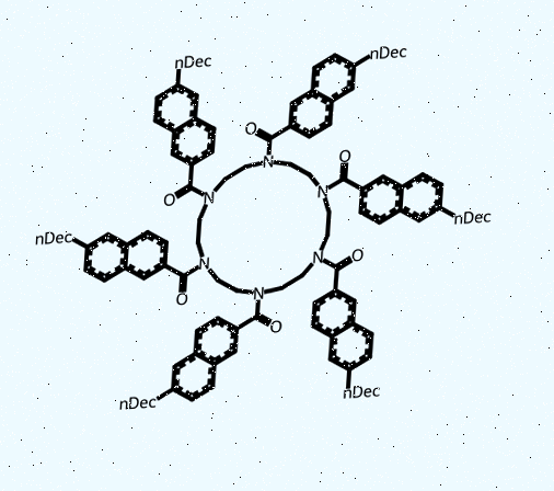 CCCCCCCCCCc1ccc2cc(C(=O)N3CCN(C(=O)c4ccc5cc(CCCCCCCCCC)ccc5c4)CCN(C(=O)c4ccc5cc(CCCCCCCCCC)ccc5c4)CCN(C(=O)c4ccc5cc(CCCCCCCCCC)ccc5c4)CCN(C(=O)c4ccc5cc(CCCCCCCCCC)ccc5c4)CCN(C(=O)c4ccc5cc(CCCCCCCCCC)ccc5c4)CC3)ccc2c1